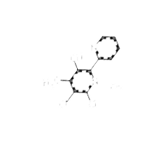 Cc1c(-c2ccccn2)nc(Cl)c(Cl)c1C.[Os]